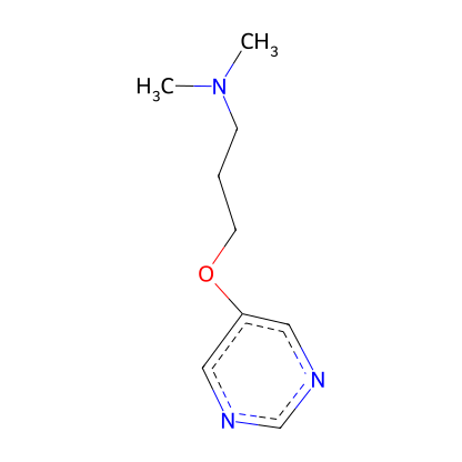 CN(C)CCCOc1cncnc1